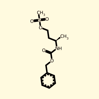 C[C@H](CCOS(C)(=O)=O)NC(=O)OCc1ccccc1